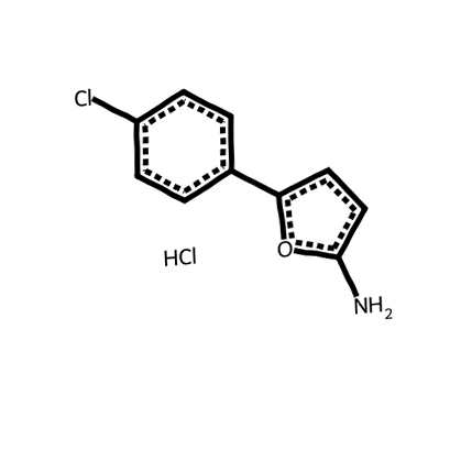 Cl.Nc1ccc(-c2ccc(Cl)cc2)o1